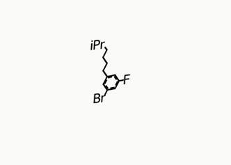 CC(C)CCCCc1cc(F)cc(Br)c1